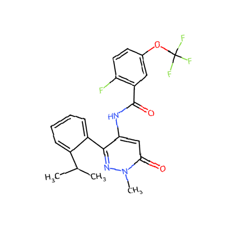 CC(C)c1ccccc1-c1nn(C)c(=O)cc1NC(=O)c1cc(OC(F)(F)F)ccc1F